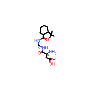 C[C@H](NC(=O)C1CCCCC1C(C)(C)C)NC(=O)[C@@H](N)CC(=O)O